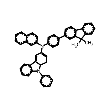 CC1(C)c2ccccc2-c2ccc(-c3ccc(N(C4=CCC5C(=C4)c4ccccc4N5c4ccccc4)c4ccc5ccccc5c4)cc3)cc21